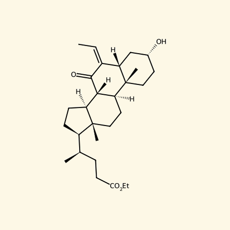 C/C=C1\C(=O)[C@@H]2[C@H](CC[C@]3(C)[C@@H]([C@H](C)CCC(=O)OCC)CC[C@@H]23)[C@@]2(C)CC[C@@H](O)C[C@@H]12